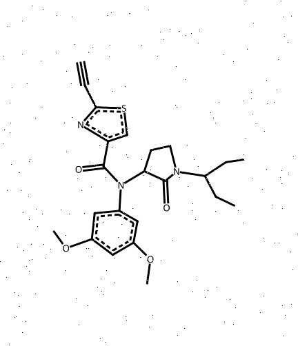 C#Cc1nc(C(=O)N(c2cc(OC)cc(OC)c2)C2CCN(C(CC)CC)C2=O)cs1